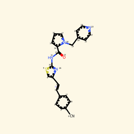 N#Cc1ccc(/C=C/c2csc(NC(=O)c3cccn3Cc3ccncc3)n2)cc1